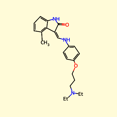 CCN(CC)CCCOc1ccc(NC=C2C(=O)Nc3cccc(C)c32)cc1